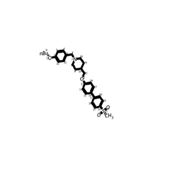 CCCCOc1ccc(CN2CCC(COc3ccc(-c4ccc(S(C)(=O)=O)cc4)cc3)CC2)cc1